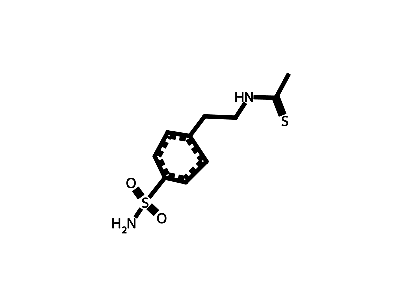 CC(=S)NCCc1ccc(S(N)(=O)=O)cc1